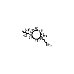 CCO[C@@H](O[C@@H]1[C@@H](C)C(=O)[C@](C)(F)C(=O)O[C@H](CC)[C@@]2(C)OC(=O)N(CCCCN)[C@@H]2[C@@H](C)C(=O)[C@H](C)C[C@@]1(C)OC)C(O)C(CC)N(C)C